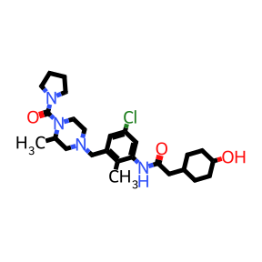 Cc1c(CN2CCN(C(=O)N3CCCC3)C(C)C2)cc(Cl)cc1NC(=O)CC1CCC(O)CC1